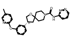 Cc1ccc(Oc2cccc([C@@H]3COC4(CCN(C(=O)Nc5cccnn5)CC4)C3)c2)nc1